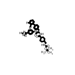 CC(C)(C)OC(=O)NCC1CCC(C(=O)N[C@@H](Cc2ccc(-c3cccc(F)c3C#N)cc2)C(=O)Nc2ccc(-c3nn[nH]n3)cc2)CC1